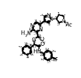 CC(=O)N1CC[C@H](n2cc(-c3cnc(N)c(C(=O)OC(C(=O)Nc4ccc(F)cc4)c4ccccc4)n3)cn2)C1